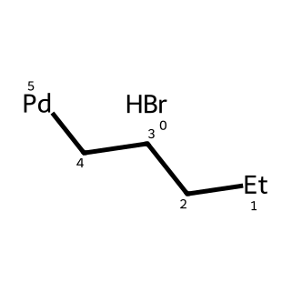 Br.CCCC[CH2][Pd]